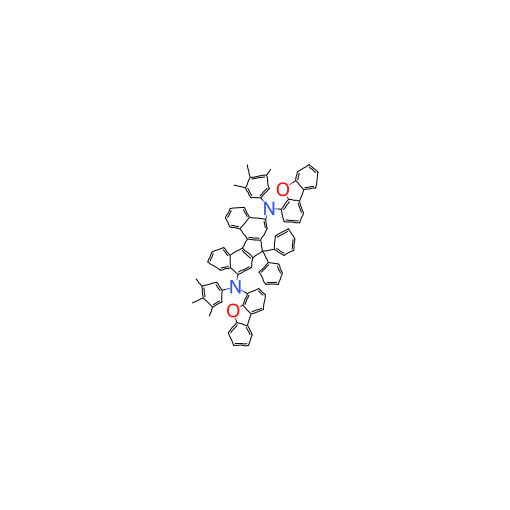 Cc1cc(N(c2cc3c(c4ccccc24)-c2c(cc(N(c4cc(C)c(C)c(C)c4)c4cccc5c4oc4ccccc45)c4ccccc24)C3(c2ccccc2)c2ccccc2)c2cccc3c2oc2ccccc23)cc(C)c1C